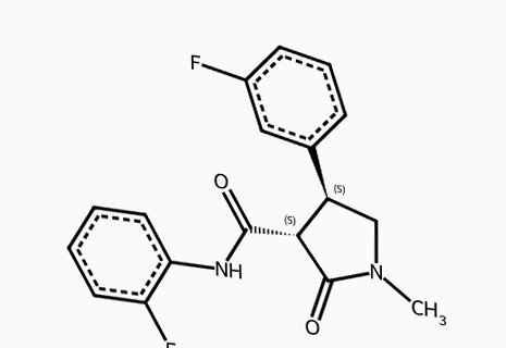 CN1C[C@H](c2cccc(F)c2)[C@@H](C(=O)Nc2ccccc2F)C1=O